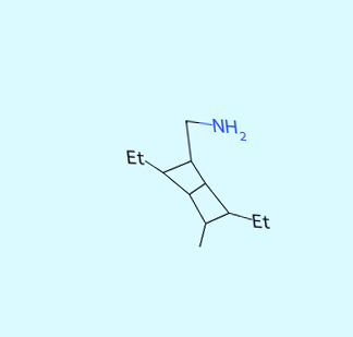 CCC1C(CN)C2C(CC)C(C)C12